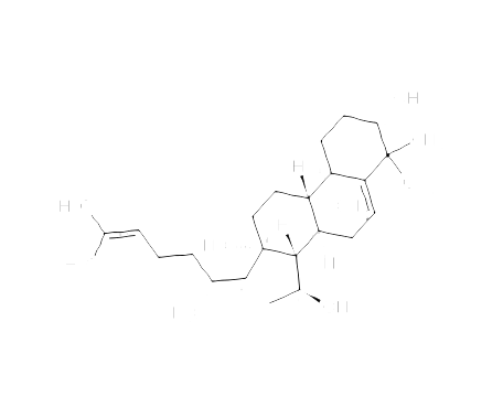 CC(C)=CCC[C@@H](C)[C@H]1C[C@H](O)[C@H]2[C@@H]3CC=C4C(C)(C)[C@@H](O)CC[C@]4(C)[C@H]3CC[C@@]21C